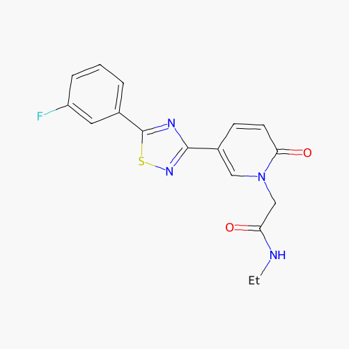 CCNC(=O)Cn1cc(-c2nsc(-c3cccc(F)c3)n2)ccc1=O